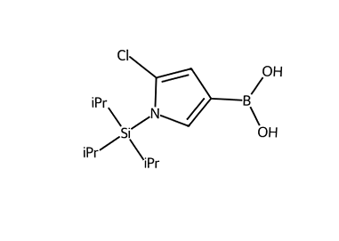 CC(C)[Si](C(C)C)(C(C)C)n1cc(B(O)O)cc1Cl